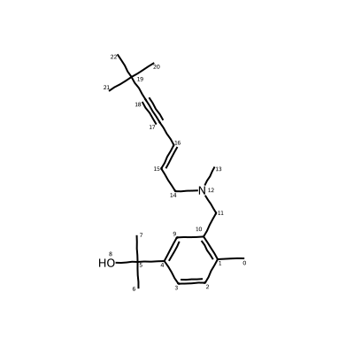 Cc1ccc(C(C)(C)O)cc1CN(C)C/C=C/C#CC(C)(C)C